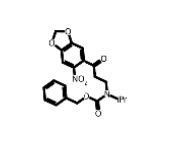 CC(C)N(CCC(=O)c1cc2c(cc1[N+](=O)[O-])OCO2)C(=O)OCc1ccccc1